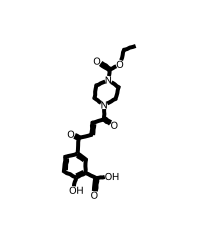 CCOC(=O)N1CCN(C(=O)/C=C/C(=O)c2ccc(O)c(C(=O)O)c2)CC1